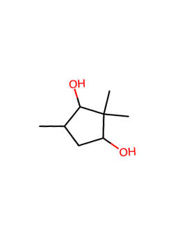 CC1CC(O)C(C)(C)C1O